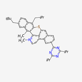 Cc1c2c(c(CC(C)C)c3ccc(CC(C)(C)C)cc13)Sc1cc3ccc(-c4nc(C(C)C)nc(C(C)C)n4)cc3c3cc[n+](C)c-2c13